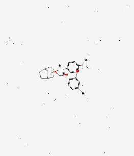 N#Cc1ccc(OCCN2C3CCC2CN(S(=O)(=O)c2ccc([N+](=O)[O-])cc2)C3)c(C#N)c1